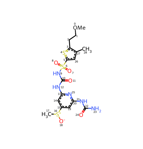 COCCc1sc(S(=O)(=O)NC(=O)Nc2cc([S+](C)[O-])cc(NC(N)=O)n2)cc1C